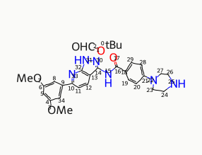 CC(C)(C)OC=O.COc1cc(OC)cc(-c2ccc3c(NC(=O)c4ccc(N5CCNCC5)cc4)n[nH]c3n2)c1